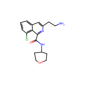 NCCc1cc2cccc(Cl)c2c(C(=O)NC2CCOCC2)n1